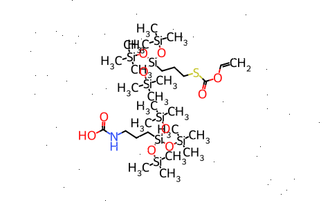 C=COC(=O)SCCC[Si](O[Si](C)(C)C)(O[Si](C)(C)C)O[Si](C)(C)C.C[Si](C)(C)O[Si](CCCNC(=O)O)(O[Si](C)(C)C)O[Si](C)(C)C